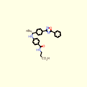 CCCC[C@@H](Nc1ccc(C(=O)NCCC(=O)O)cc1)c1ccc(-c2noc(-c3ccccc3)n2)cc1